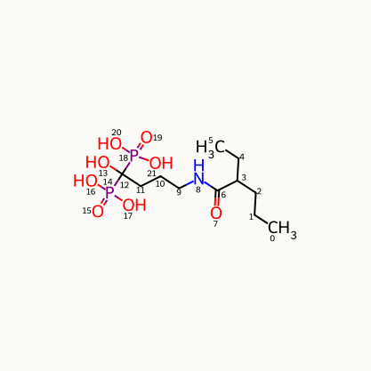 CCCC(CC)C(=O)NCCCC(O)(P(=O)(O)O)P(=O)(O)O